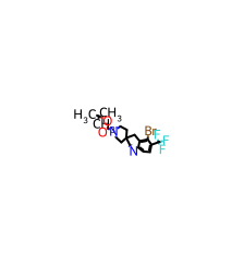 CC(C)(C)OC(=O)N1CCC(C#N)(Cc2cccc(C(F)(F)F)c2Br)CC1